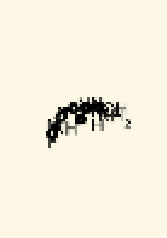 NC(O)C1CN=C(c2cnc(-c3ccc(CN4CCC(c5nc6ccc(F)cc6[nH]5)CC4)cc3)c(-c3ccccc3)c2)N1